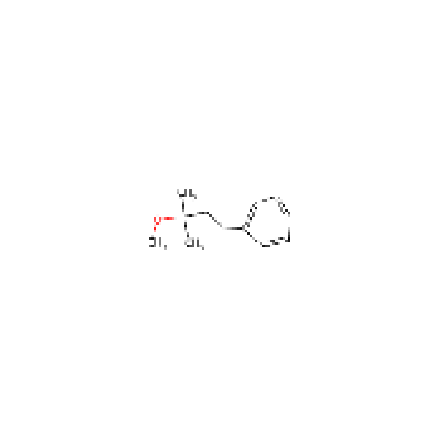 COC(C)(C)CCc1ccccc1